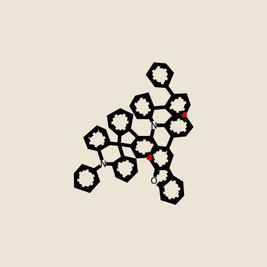 c1ccc(-c2ccccc2-c2ccccc2N(c2ccccc2-c2ccc3oc4ccccc4c3c2)c2cccc3c2-c2ccccc2C32c3ccccc3N(c3ccccc3)c3ccccc32)cc1